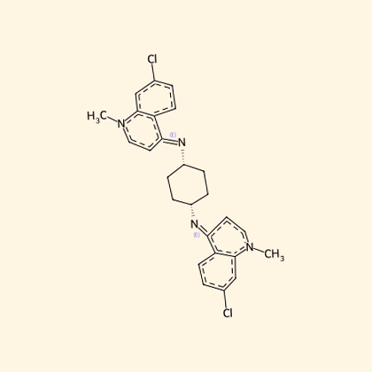 Cn1cc/c(=N\[C@H]2CC[C@@H](/N=c3\ccn(C)c4cc(Cl)ccc34)CC2)c2ccc(Cl)cc21